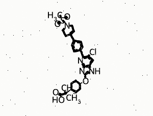 CC(C)(C(=O)O)[C@H]1CC[C@H](Oc2nc3nc(-c4ccc(C5=CCN(S(C)(=O)=O)CC5)cc4)c(Cl)cc3[nH]2)CC1